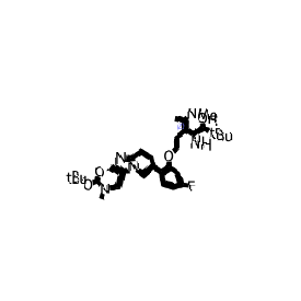 CN/C(C)=C(/CCOc1cc(F)ccc1-c1ccc2ncc(CN(C)C(=O)OC(C)(C)C)n2c1)C(=N)C(O)C(C)(C)C